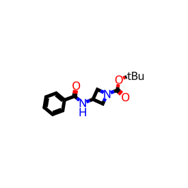 CC(C)(C)OC(=O)N1CC(NC(=O)c2ccccc2)C1